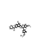 COc1ccc(C(NC(=O)c2cc(F)c3cnc(NC4CCOCC4)nc3c2)c2cnn(C)c2)cc1F